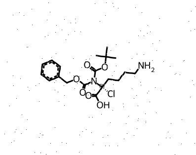 CC(C)(C)OC(=O)N(C(=O)OCc1ccccc1)[C@@](Cl)(CCCCN)C(=O)O